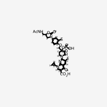 CC(=O)NCC1CN(c2ccc(OCC3(OP(=O)(O)O)CCN(c4nc5c(cc4F)c(=O)c(C(=O)O)cn5C4CC4)CC3)c(F)c2)C(=O)O1